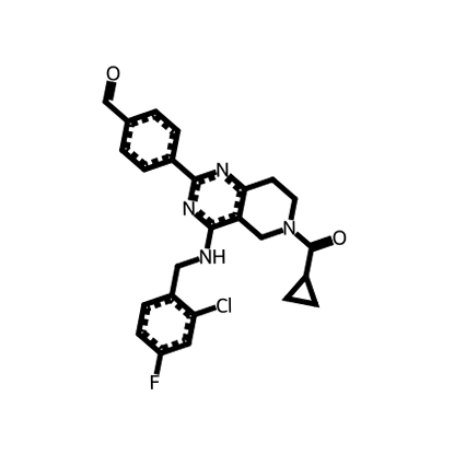 O=Cc1ccc(-c2nc3c(c(NCc4ccc(F)cc4Cl)n2)CN(C(=O)C2CC2)CC3)cc1